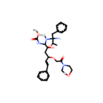 CC(O)C(N)(Cc1ccccc1)N(C(=O)O)C(NC(=O)OC(C)(C)C)C(O)CC(C=Cc1ccccc1)OCC(=O)N1CCOCC1